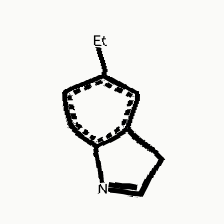 CCc1ccc2c(c1)CC=N2